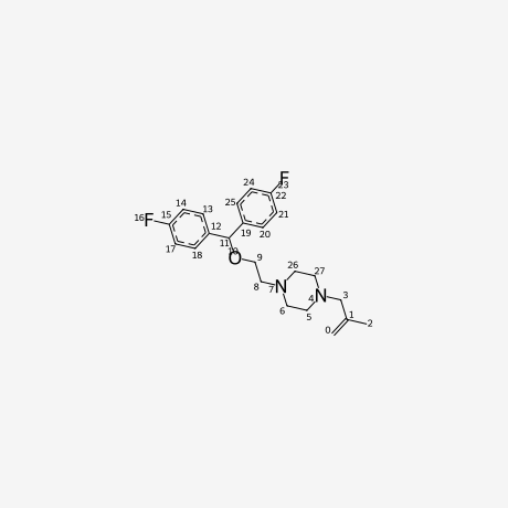 C=C(C)CN1CCN(CCOC(c2ccc(F)cc2)c2ccc(F)cc2)CC1